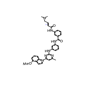 COc1cccc2c1ccn2-c1cc(C)nc(Nc2cccc(NC(=O)c3cccc(NC(=O)/C=C/CN(C)C)c3)c2)n1